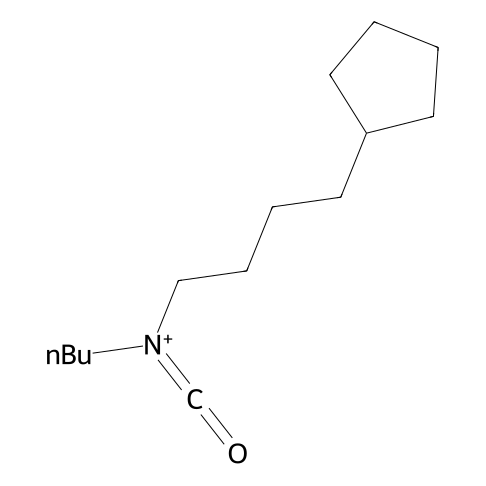 CCCC[N+](=C=O)CCCCC1CCCC1